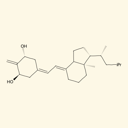 C=C1[C@H](O)CC(=C/C=C2\CCC[C@@]3(C)C2CC[C@@H]3[C@H](C)CC(C)C)C[C@H]1O